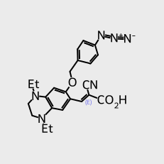 CCN1CCN(CC)c2cc(OCc3ccc(N=[N+]=[N-])cc3)c(/C=C(\C#N)C(=O)O)cc21